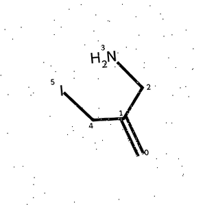 C=C(CN)CI